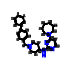 c1ccc(-c2ccc(CN3CCC(Nc4nccc(N5CCCCCC5)n4)CC3)cc2)cc1